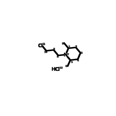 CC1CCCC(C)N1CCCCl.Cl